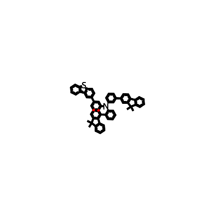 CC1(C)c2ccccc2-c2ccc(-c3cccc(N(c4cccc(-c5ccc6sc7ccccc7c6c5)c4)c4ccccc4-c4cccc5c4-c4ccccc4C5(C)C)c3)cc21